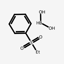 CCS(=O)(=O)c1ccccc1.OBO